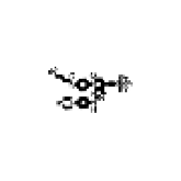 CC(C)[Si](C#Cc1cc(=O)n(C2CCC(NC(=O)CCCN(C)C)CC2)c2nc(Nc3ccc(N4CCN(C)CC4)cc3)ncc12)(C(C)C)C(C)C